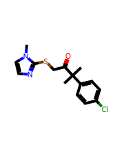 Cn1ccnc1SCC(=O)C(C)(C)c1ccc(Cl)cc1